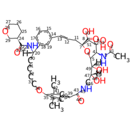 CC(=O)N[C@H]1C2O[C@](C(=O)O)(C/C=C/c3cccc(c3)[C@@H](NC(=O)[C@@H]3CCCOC3)CCCCOc3c(C)cc(cc3C)C(=O)NC[C@@H](O)[C@H]2O)C[C@@H]1O